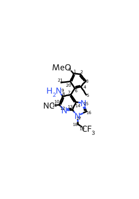 COc1ccc(C)c(-c2c(N)c(C#N)nc3c2ncn3CC(F)(F)F)c1C